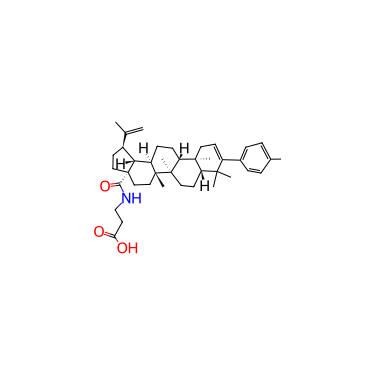 C=C(C)[C@@H]1CC[C@]2(C(=O)NCCC(=O)O)CC[C@]3(C)[C@H](CC[C@@H]4[C@@]5(C)CC=C(c6ccc(C)cc6)C(C)(C)[C@@H]5CC[C@]43C)[C@@H]12